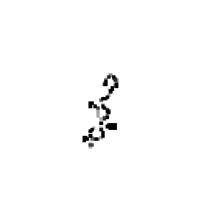 OC1(c2ccc(OCc3ccccc3)c(F)c2)CCC(F)(F)CC1